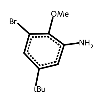 COc1c(N)cc(C(C)(C)C)cc1Br